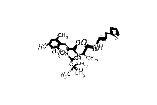 Cc1cc(O)cc(C)c1C[C@H](NC(=O)OC(C)(C)C)C(=O)N[C@H](C)C(=O)N/C=C/Cc1cccs1